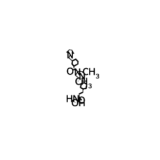 C[C@@H]1CN(C(=O)c2cccc(CN3CCCC3)c2)C[C@H](C)N1Cc1ccc(C=CC(=O)NO)cc1